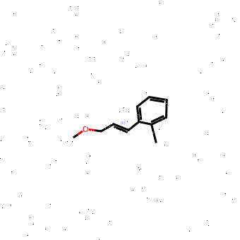 COC/C=C/c1ccccc1C